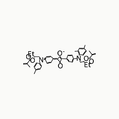 C=C(C)C(=O)OC(CC)CN(c1ccc(C2=C([O-])C(=C3C=CC(=[N+](CC(CC)OC(=O)C(=C)C)c4ccc(C)cc4)C=C3)C2=O)cc1)c1ccc(C)cc1C